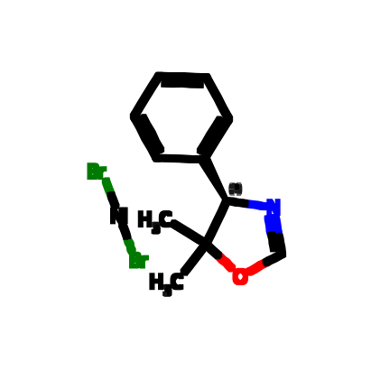 CC1(C)OC=N[C@@H]1c1ccccc1.[Br][Ni][Br]